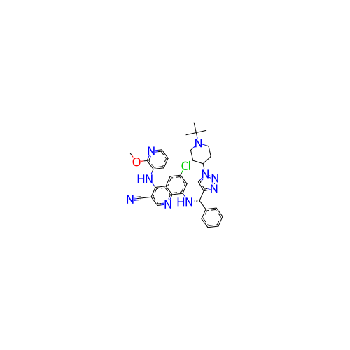 COc1ncccc1Nc1c(C#N)cnc2c(N[C@@H](c3ccccc3)c3cn(C4CCN(C(C)(C)C)CC4)nn3)cc(Cl)cc12